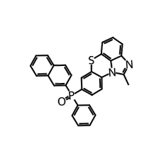 Cc1nc2cccc3c2n1-c1ccc(P(=O)(c2ccccc2)c2ccc4ccccc4c2)cc1S3